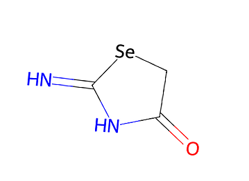 N=C1NC(=O)C[Se]1